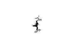 CCCBCCC(C)C(C)C